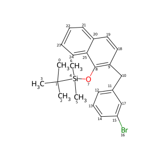 CC(C)(C)[Si](C)(C)Oc1c(Cc2cccc(Br)c2)ccc2ccccc12